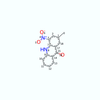 Cc1cc([N+](=O)[O-])c2[nH]c3ccccc3c(=O)c2c1